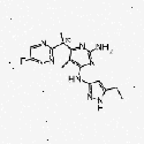 CCc1cc(Nc2nc(N)nc([C@H](C)c3ncc(F)cn3)c2C)n[nH]1